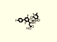 CC1=CC(=O)C(NC(=O)NC(CC(=O)O)c2cc(F)cc(-c3ccc(F)cc3)c2F)C(=O)N1C